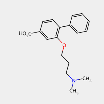 CN(C)CCCOc1cc(C(=O)O)ccc1-c1ccccc1